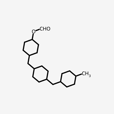 CC1CCC(CC2CCC(CC3CCC(OC=O)CC3)CC2)CC1